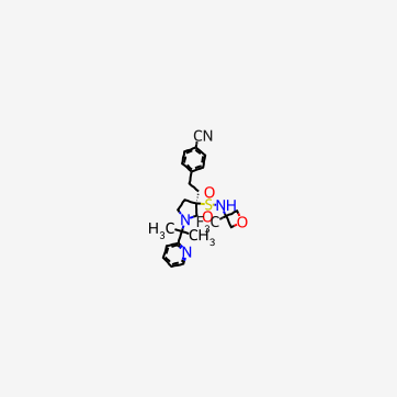 CC(C)(c1ccccn1)N1CC[C@@](CCc2ccc(C#N)cc2)(S(=O)(=O)NC2(C(F)(F)F)COC2)C1